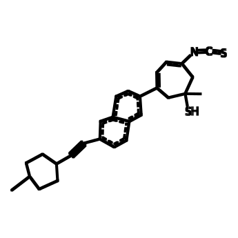 CC1CCC(C#Cc2ccc3cc(C4=CC=C(N=C=S)CC(C)(S)C4)ccc3c2)CC1